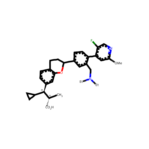 CCN(CC)Cc1cc(C2CCc3ccc([C@H](C4CC4)[C@H](C)C(=O)O)cc3O2)ccc1-c1cc(OC)ncc1F